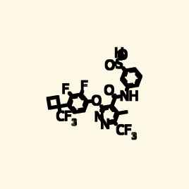 Cc1c(C(F)(F)F)nnc(Oc2ccc(C3(C(F)(F)F)CCC3)c(F)c2F)c1C(=O)Nc1cccc([SH](=O)=O)c1